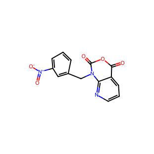 O=c1oc(=O)n(Cc2cccc([N+](=O)[O-])c2)c2ncccc12